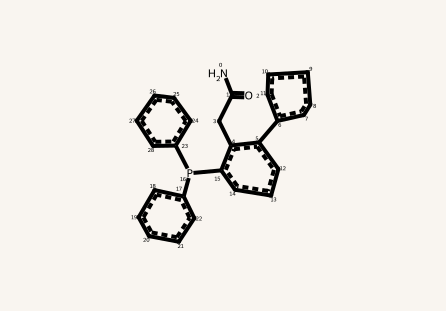 NC(=O)Cc1c(-c2ccccc2)cccc1P(c1ccccc1)c1ccccc1